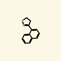 c1ccc2c(C3=NOCC3)cccc2c1